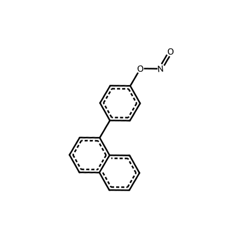 O=NOc1ccc(-c2cccc3ccccc23)cc1